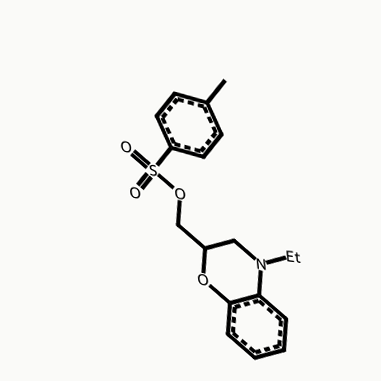 CCN1CC(COS(=O)(=O)c2ccc(C)cc2)Oc2ccccc21